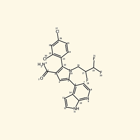 NC(=O)c1cc(-c2ccnc3[nH]ccc23)n(CC(F)C(F)F)c1-c1ccc(Cl)cc1Cl